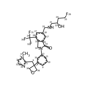 Cn1cnnc1CC1(c2cccc(N3Cc4c(cc(CNCC(O)CCF)cc4C(F)(F)F)C3=O)c2)COC1